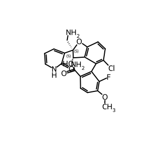 COc1ccc(C(N)=O)c(-c2c(Cl)ccc3c2[C@H](O)[C@@](CN)(c2ccc[nH]c2=O)O3)c1F